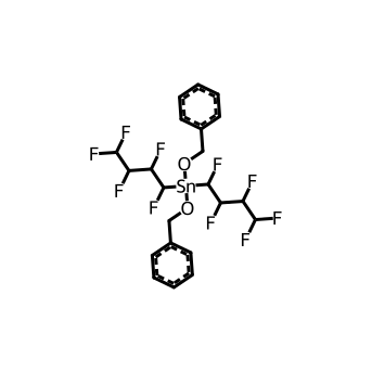 FC(F)C(F)C(F)[CH](F)[Sn]([O]Cc1ccccc1)([O]Cc1ccccc1)[CH](F)C(F)C(F)C(F)F